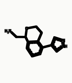 NCC1OCCc2c(-c3cn[nH]c3)cccc21